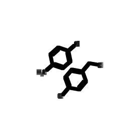 Cc1ccc(Cl)cc1.ClCc1ccc(Cl)cc1